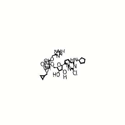 O=P(O)(O)C(COCc1nn[nH]n1)(COCC1CC1)OC[C@H]1O[C@@H](c2ccc3c(NC4CCCC4)nc(Cl)nn23)[C@H](O)[C@@H]1O